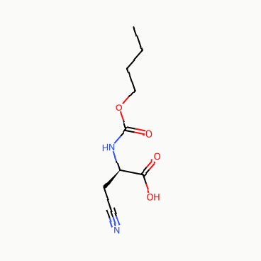 CCCCOC(=O)N[C@H](CC#N)C(=O)O